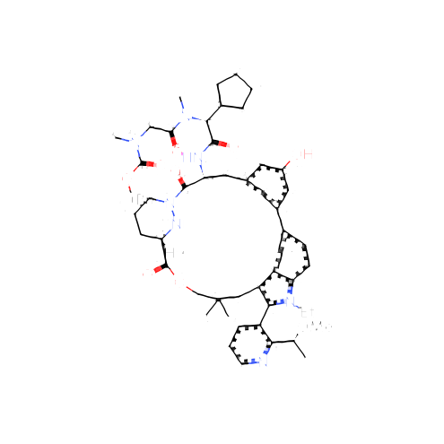 CCn1c(-c2cccnc2[C@H](C)OC)c2c3cc(ccc31)-c1cc(O)cc(c1)C[C@H](NC(=O)[C@H](C1CCCC1)N(C)C(=O)CN(C)C(=O)OC(C)(C)C)C(=O)N1CCC[C@H](N1)C(=O)OCC(C)(C)C2